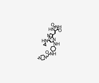 CN1CCN(CC(=O)N[C@H]2CC[C@H](Nc3cc(NC4CC4)n4ncc(/C=C5\NC(=O)NC5=O)c4n3)CC2)CC1